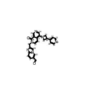 O=Cc1ccc2nc(Cn3ccc4c(N5CC(c6ccncc6)C5)cncc4c3=O)cn2c1